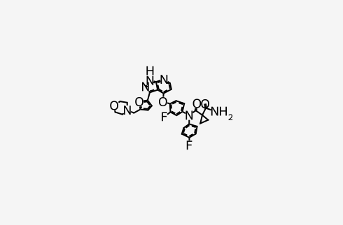 NC(=O)C1(C(=O)N(c2ccc(F)cc2)c2ccc(Oc3ccnc4[nH]nc(-c5ccc(CN6CCOCC6)o5)c34)c(F)c2)CC1